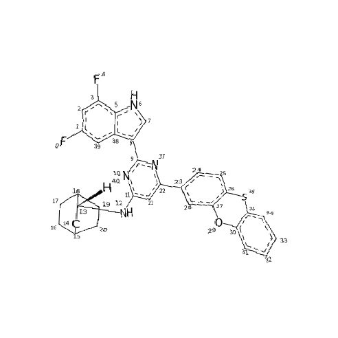 Fc1cc(F)c2[nH]cc(-c3nc(N[C@@H]4CC5CCC4CC5)cc(-c4ccc5c(c4)Oc4ccccc4S5)n3)c2c1